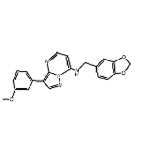 COc1cccc(-c2cnn3c(NCc4ccc5c(c4)OCO5)ccnc23)c1